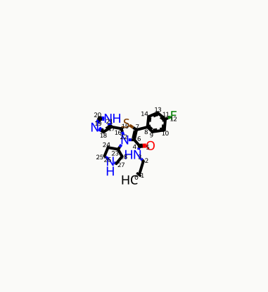 C#CCNC(=O)C1=C(c2ccc(F)cc2)SC(c2cnc[nH]2)N1C1CCNCC1